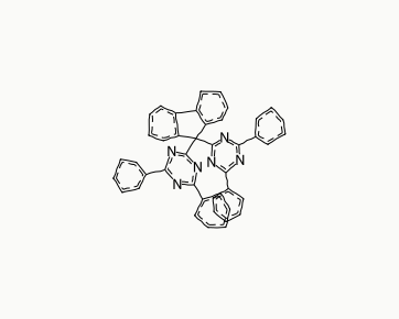 c1ccc(-c2nc(-c3ccccc3)nc(C3(c4nc(-c5ccccc5)nc(-c5ccccc5)n4)c4ccccc4-c4ccccc43)n2)cc1